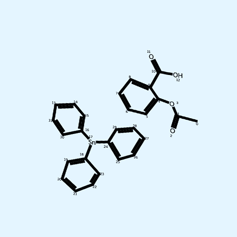 CC(=O)Oc1ccccc1C(=O)O.c1cc[c]([Sn]([c]2ccccc2)[c]2ccccc2)cc1